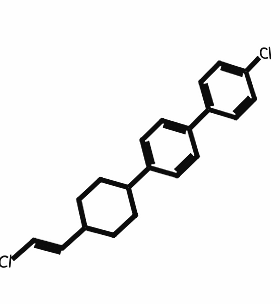 Cl/C=C/C1CCC(c2ccc(-c3ccc(Cl)cc3)cc2)CC1